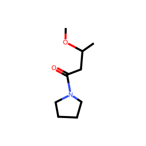 COC(C)CC(=O)N1CCCC1